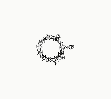 C/C=C/C[C@@H](C)[C@@H](O)[C@H]1C(=O)N[C@@H](CC)C(=O)N(C)[C@H](CSCCN2CCOCC2)C(=O)N(C)[C@@H](CC(C)(C)OC)C(=O)N[C@@H](C(C)C)C(=O)N(C)[C@@H](CC(C)C)C(=O)N[C@@H](C)C(=O)N[C@H](C)C(=O)N(C)[C@@H](CC(C)C)C(=O)N(C)[C@@H](CC(C)C)C(=O)N(C)[C@@H](C(C)C)C(=O)N1C